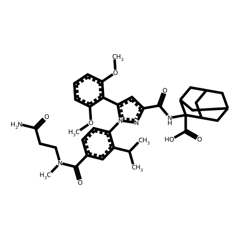 COc1cccc(OC)c1-c1cc(C(=O)NC2(C(=O)O)C3CC4CC(C3)CC2C4)nn1-c1ccc(C(=O)N(C)CCC(N)=O)cc1C(C)C